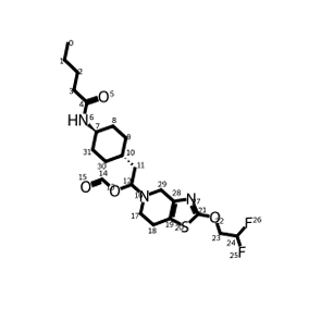 CCCCC(=O)N[C@H]1CC[C@H](CC(OC=O)N2CCc3sc(OCC(F)F)nc3C2)CC1